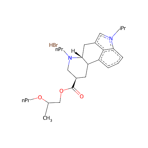 Br.CCCOC(C)COC(=O)[C@@H]1CC2c3cccc4c3c(cn4C(C)C)C[C@H]2N(CCC)C1